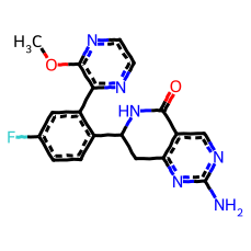 COc1nccnc1-c1cc(F)ccc1C1Cc2nc(N)ncc2C(=O)N1